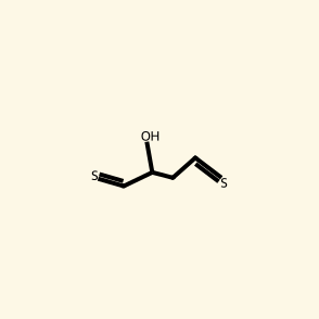 OC(C=S)CC=S